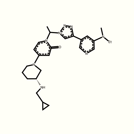 CCN(C)c1cncc(-c2cn(C(C)n3ccc(N4CCC[C@@H](NCC5CC5)C4)cc3=O)nn2)c1